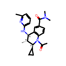 CC(=O)N1c2ccc(C(=O)N(C)C)cc2[C@H](Nc2cccc(C)n2)[C@@H](C)[C@@H]1C1CC1